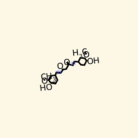 COC1=CC(/C=C/C(=O)CC(=O)/C=C/C2CCC(O)C(OC)C2)CC=C1O